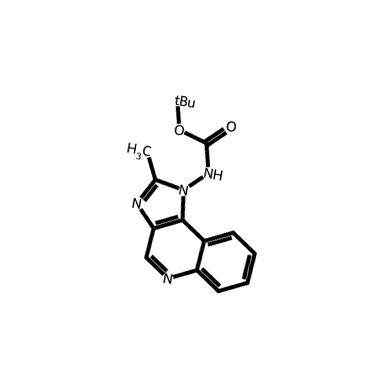 Cc1nc2cnc3ccccc3c2n1NC(=O)OC(C)(C)C